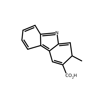 CC1C=C2N=c3ccccc3=C2C=C1C(=O)O